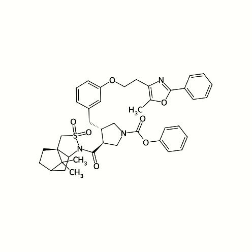 Cc1oc(-c2ccccc2)nc1CCOc1cccc(C[C@@H]2CN(C(=O)Oc3ccccc3)C[C@H]2C(=O)N2C3CC4CC[C@]3(CS2(=O)=O)C4(C)C)c1